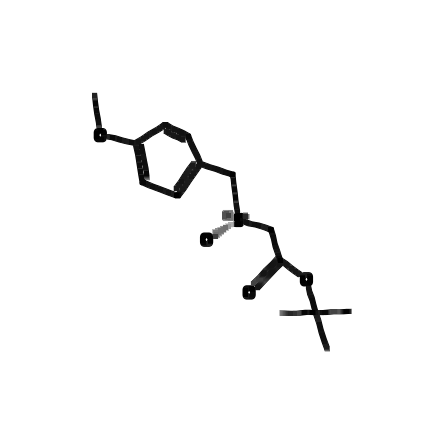 COc1ccc(C[S@@+]([O-])CC(=O)OC(C)(C)C)cc1